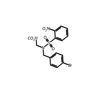 O=C(O)CN(Cc1ccc(Br)cc1)S(=O)(=O)c1ccccc1[N+](=O)[O-]